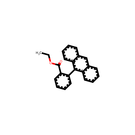 CCOC(=O)c1ccccc1-c1c2ccccc2cc2ccccc12